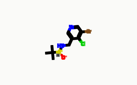 CC(C)(C)[S@@+]([O-])NCc1cncc(Br)c1Cl